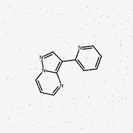 c1ccc(-c2cnn3cccnc23)nc1